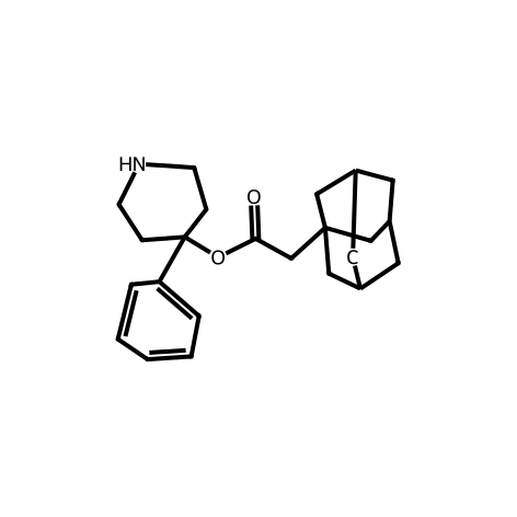 O=C(CC12CC3CC(CC(C3)C1)C2)OC1(c2ccccc2)CCNCC1